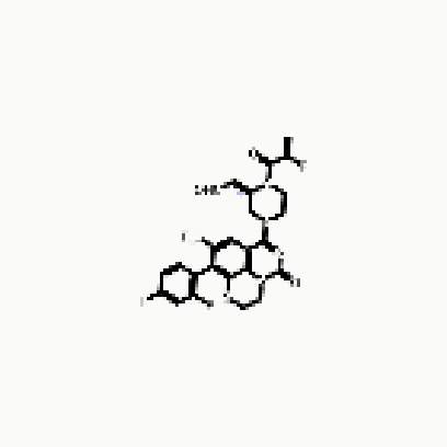 C=C(F)C(=O)N1CCN(c2nc(=O)n3c4c(c(-c5ccc(F)cc5F)c(C(F)(F)F)cc24)SCC3)C/C1=C\C=O